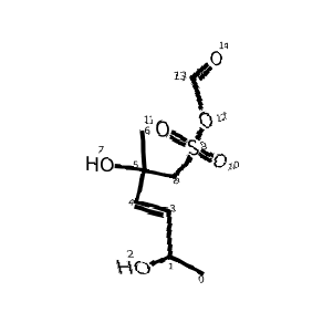 CC(O)C=CC(C)(O)CS(=O)(=O)OC=O